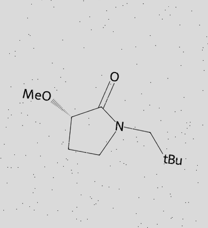 CO[C@H]1CCN(CC(C)(C)C)C1=O